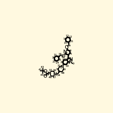 Cn1nc(-c2ccc(OCc3ccccc3)nc2OCc2ccccc2)c2ccc(N3CCC(CN4CCN(C(=O)OC(C)(C)C)CC4)CC3)cc21